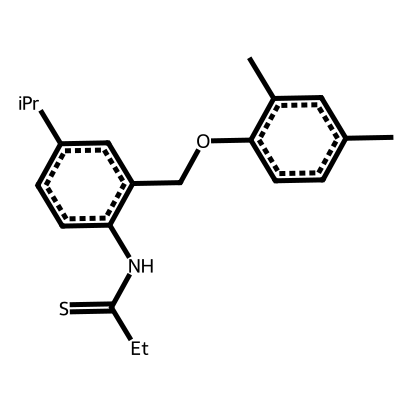 CCC(=S)Nc1ccc(C(C)C)cc1COc1ccc(C)cc1C